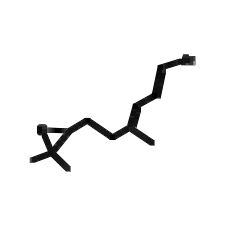 CC(=O)C=CC=C(C)CCC1OC1(C)C